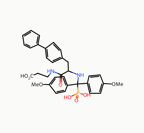 COc1ccc(C(NC(Cc2ccc(-c3ccccc3)cc2)C(=O)NCCC(=O)O)(c2ccc(OC)cc2)P(=O)(O)O)cc1